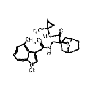 CCn1cc(C(=O)NCC2CC3CCC(C2)N3CC(=O)NC2(C(F)(F)F)CC2)c2c(C)cccc21